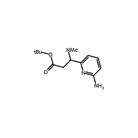 CNC(CC(=O)OC(C)(C)C)c1cccc(N)n1